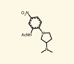 CC(=O)Nc1cc([N+](=O)[O-])ccc1N1CCC(N(C)C)C1